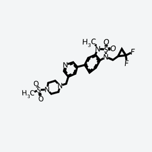 CN1c2cc(-c3cncc(CN4CCN(S(C)(=O)=O)CC4)c3)ccc2N(CC2CC2(F)F)S1(=O)=O